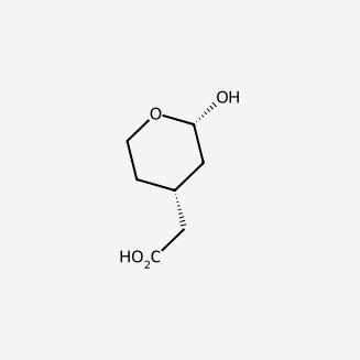 O=C(O)C[C@@H]1CCO[C@H](O)C1